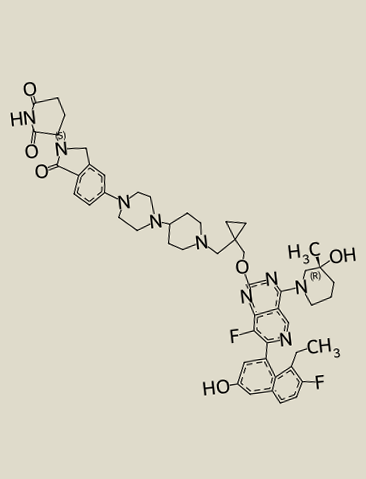 CCc1c(F)ccc2cc(O)cc(-c3ncc4c(N5CCC[C@@](C)(O)C5)nc(OCC5(CN6CCC(N7CCN(c8ccc9c(c8)CN([C@H]8CCC(=O)NC8=O)C9=O)CC7)CC6)CC5)nc4c3F)c12